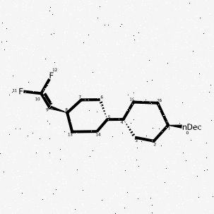 CCCCCCCCCC[C@H]1CC[C@H]([C@H]2CC[C@H](C=C(F)F)CC2)CC1